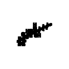 CCCCCCCC(O)C(O)C(O)CCOC(=O)c1ccccc1